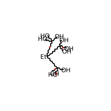 CCC(CCCCCCCCC(CCCO)(CCCO)CCCO)(CCCCCCCCC(CCCO)(CCCO)CCCO)CCCCCCCCC(CCCO)(CCCO)CCCO